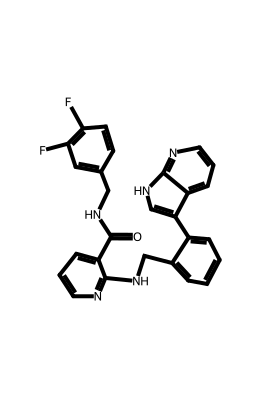 O=C(NCc1ccc(F)c(F)c1)c1cccnc1NCc1ccccc1-c1c[nH]c2ncccc12